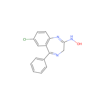 ONC1=Nc2ccc(Cl)cc2C(c2ccccc2)=NC1